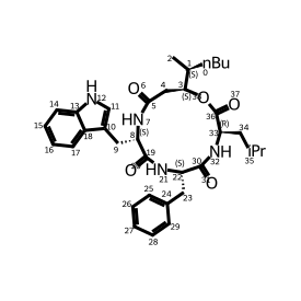 CCCC[C@H](C)[C@@H]1CC(=O)N[C@@H](Cc2c[nH]c3ccccc23)C(=O)N[C@@H](Cc2ccccc2)C(=O)N[C@H](CC(C)C)C(=O)O1